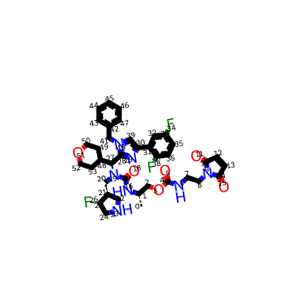 C[C@@H](COC(=O)NCCN1C(=O)C=CC1=O)NC(=O)N(C[C@@H]1CNC[C@@H]1F)[C@@H](c1nc(-c2cc(F)ccc2F)cn1Cc1ccccc1)C1CCOCC1